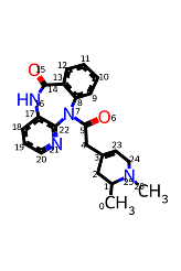 CC1CC(CC(=O)N2c3ccccc3C(=O)Nc3cccnc32)=CCN1C